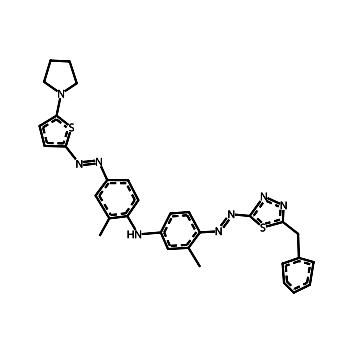 Cc1cc(Nc2ccc(/N=N/c3ccc(N4CCCC4)s3)cc2C)ccc1/N=N/c1nnc(Cc2ccccc2)s1